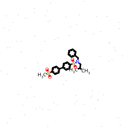 CC(C)CN(Cc1ccccc1)S(=O)(=O)c1ccc(-c2ccc(S(C)(=O)=O)cc2)cc1